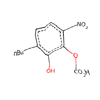 CCCCc1ccc([N+](=O)[O-])c(OC(=O)O)c1O